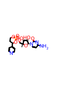 C[C@]1(COP2(=O)OCCC(c3ccncc3)O2)O[C@@H](n2ccc(N)nc2=O)[C@H](O)[C@@H]1O